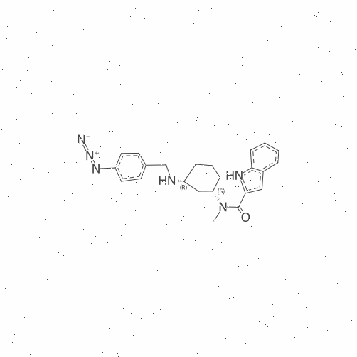 CN(C(=O)c1cc2ccccc2[nH]1)[C@H]1CCC[C@@H](NCc2ccc(N=[N+]=[N-])cc2)C1